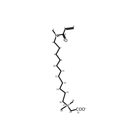 C=CC(=O)N(C)CCCCCCCCCCC[N+](C)(C)CC(=O)[O-]